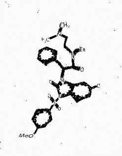 CCN(CCN(C)C)C(=O)C(c1ccccc1)n1c(=O)n(S(=O)(=O)c2ccc(OC)cc2)c2ccc(Cl)cc21